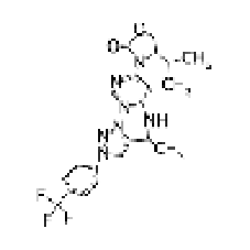 CC(C)C1COC(=O)N1c1ncnc(N[C@@H](C)c2cn(-c3ccc(C(F)(F)F)cc3)nn2)n1